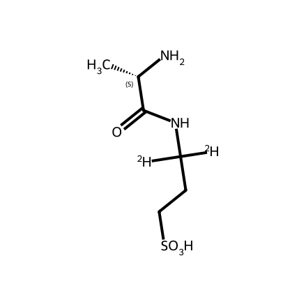 [2H]C([2H])(CCS(=O)(=O)O)NC(=O)[C@H](C)N